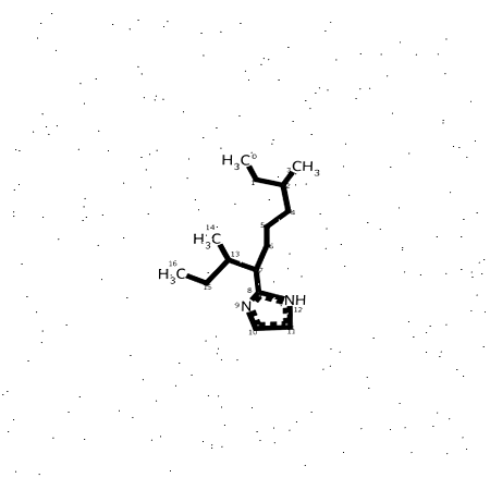 CCC(C)CCCC(c1ncc[nH]1)C(C)CC